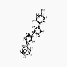 Fc1ccc(-c2csc(-c3cn(C4CN5CCC4CC5)nn3)c2)cn1